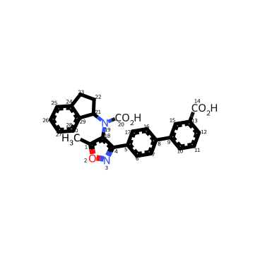 Cc1onc(-c2ccc(-c3cccc(C(=O)O)c3)cc2)c1N(C(=O)O)C1CCc2ccccc21